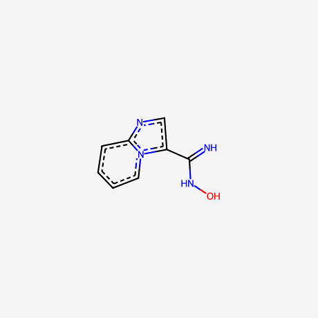 N=C(NO)c1cnc2ccccn12